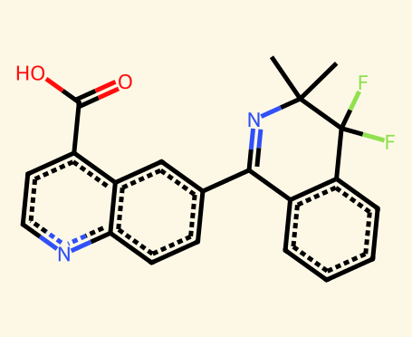 CC1(C)N=C(c2ccc3nccc(C(=O)O)c3c2)c2ccccc2C1(F)F